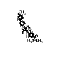 CCc1ccc(N2CCC(n3cc(F)c4c(Nc5ccc(C(=O)N(C)C)cc5F)ncnc43)CC2)nc1